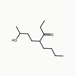 CCCCC(CCC(C)O)C(=O)CC